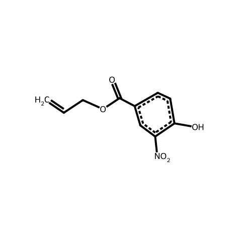 C=CCOC(=O)c1ccc(O)c([N+](=O)[O-])c1